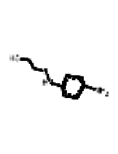 Nc1ccc(NSCCO)cc1